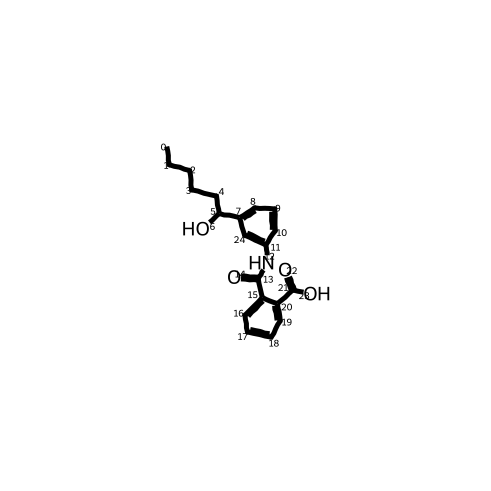 CCCCCC(O)c1cccc(NC(=O)c2ccccc2C(=O)O)c1